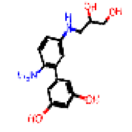 Nc1ccc(NCC(O)CO)cc1-c1cc(O)cc(O)c1